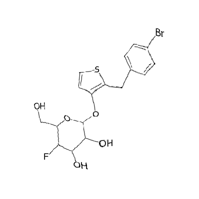 OCC1OC(Oc2ccsc2Cc2ccc(Br)cc2)C(O)C(O)C1F